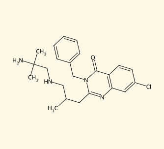 CC(CNCC(C)(C)N)Cc1nc2cc(Cl)ccc2c(=O)n1Cc1ccccc1